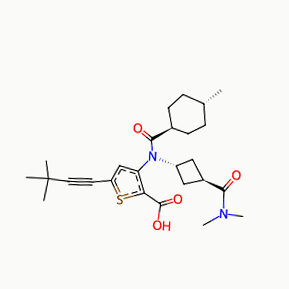 CN(C)C(=O)[C@H]1C[C@H](N(c2cc(C#CC(C)(C)C)sc2C(=O)O)C(=O)[C@H]2CC[C@H](C)CC2)C1